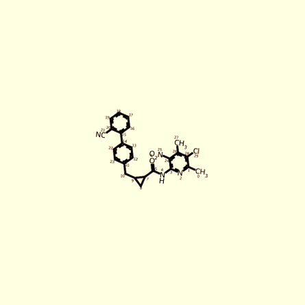 Cc1nc(NC(=O)C2CC2Cc2ccc(-c3ccccc3C#N)cc2)c([N+](=O)[O-])c(C)c1Cl